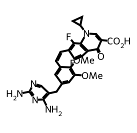 COc1cc(Cc2cnc(N)nc2N)cc(/C=C\c2c(F)cc3c(=O)c(C(=O)O)cn(C4CC4)c3c2F)c1OC